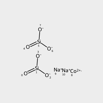 O=[Si]([O-])[O-].O=[Si]([O-])[O-].[Co+2].[Na+].[Na+]